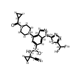 N#CC1(N[S+]([O-])c2cc(N3CCN(C(=O)C4CC4)CC3)c3cnn(-c4nnc(C(F)F)s4)c3c2)CC1